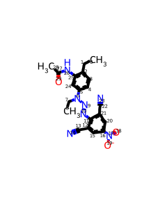 CCc1ccc(N(CC)N=Nc2c(C#N)cc([N+](=O)[O-])cc2C#N)cc1NC(C)=O